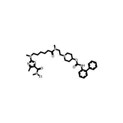 CCN(C)C(=O)c1sc(N(C)CCCCCC(=O)N(C)CCN2CCC(OC(=O)Nc3ccccc3-c3ccccc3)CC2)nc1C